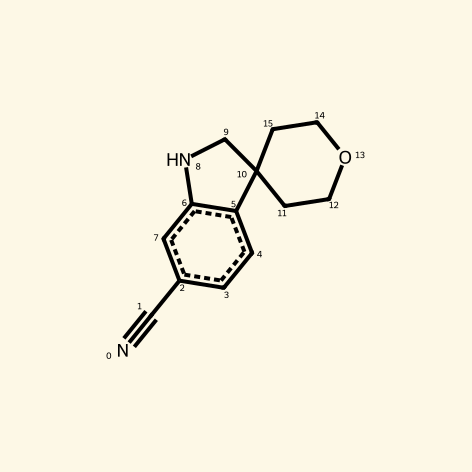 N#Cc1ccc2c(c1)NCC21CCOCC1